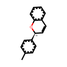 Cc1ccc([C@@H]2C=Cc3ccccc3O2)cc1